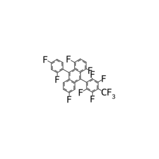 Fc1ccc(-c2c3ccc(F)cc3c(-c3c(F)c(F)c(C(F)(F)F)c(F)c3F)c3c(F)ccc(F)c23)c(F)c1